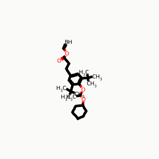 B=COC(=O)CCc1cc(C(C)(C)C)c(OC(C)OC2CCCCC2)c(C(C)(C)C)c1